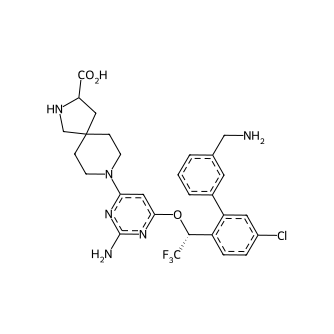 NCc1cccc(-c2cc(Cl)ccc2[C@@H](Oc2cc(N3CCC4(CC3)CNC(C(=O)O)C4)nc(N)n2)C(F)(F)F)c1